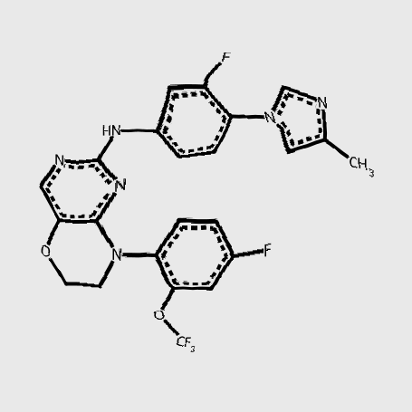 Cc1cn(-c2ccc(Nc3ncc4c(n3)N(c3ccc(F)cc3OC(F)(F)F)CCO4)cc2F)cn1